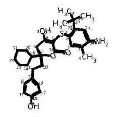 Cc1cc(SC2=C(O)CC(CCc3ccc(O)cc3)(C3CCCCC3)OC2=O)c(C(C)(C)C)cc1N